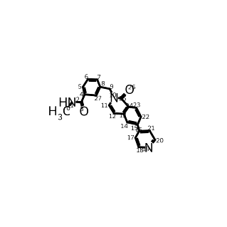 CNC(=O)c1cccc(Cn2ccc3cc(-c4ccncc4)ccc3c2=O)c1